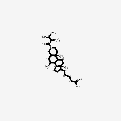 CC(C)C(N)C(=O)N1CCC2(C)C(CC(O)C3C4CCC(CCCCC(=O)O)C4(C)CCC32)C1